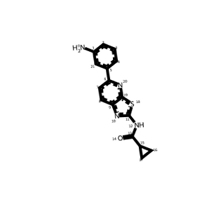 Nc1cccc(-c2ccc3nc(NC(=O)C4CC4)sc3n2)c1